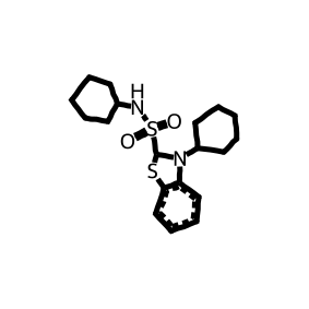 O=S(=O)(NC1CCCCC1)C1Sc2ccccc2N1C1CCCCC1